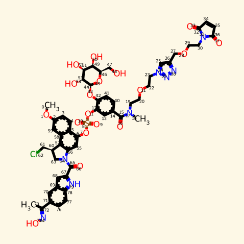 COc1ccc2c(OS(=O)(=O)Oc3cc(C(=O)N(C)CCOCCn4cc(COCCN5C(=O)C=CC5=O)nn4)ccc3O[C@@H]3O[C@H](CO)[C@H](O)[C@H](O)[C@H]3O)cc3c(c2c1)[C@H](CCl)CN3C(=O)c1cc2cc(/C(C)=N/O)ccc2[nH]1